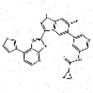 O=C(Nc1cncc(-c2cc3c(-c4nc5c(-c6ccsc6)ccnc5[nH]4)n[nH]c3cc2F)c1)C1CC1